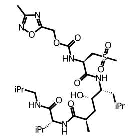 Cc1noc(COC(=O)N[C@@H](CS(C)(=O)=O)C(=O)N[C@H](CC(C)C)[C@@H](O)C[C@@H](C)C(=O)N[C@@H](C(=O)NCC(C)C)C(C)C)n1